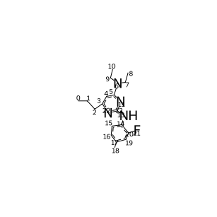 CCCc1cc(N(CC)CC)nc(Nc2ccc(C)cc2F)n1